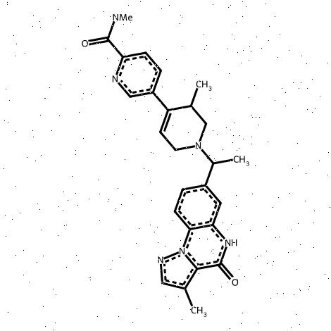 CNC(=O)c1ccc(C2=CCN(C(C)c3ccc4c(c3)[nH]c(=O)c3c(C)cnn34)CC2C)cn1